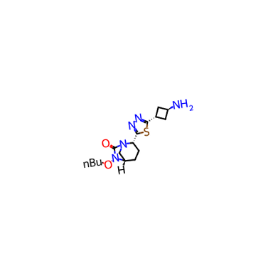 CCCCON1C(=O)N2C[C@@H]1CC[C@H]2c1nnc([C@H]2C[C@H](N)C2)s1